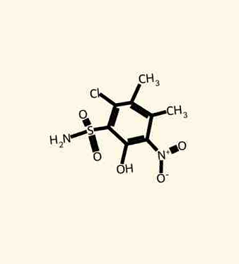 Cc1c(C)c([N+](=O)[O-])c(O)c(S(N)(=O)=O)c1Cl